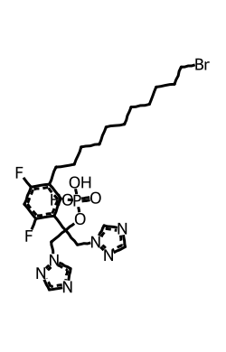 O=P(O)(O)OC(Cn1cncn1)(Cn1cncn1)c1cc(CCCCCCCCCCCBr)c(F)cc1F